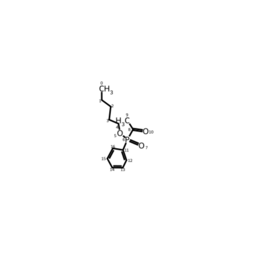 CCCCCOP(=O)(C(C)=O)c1ccccc1